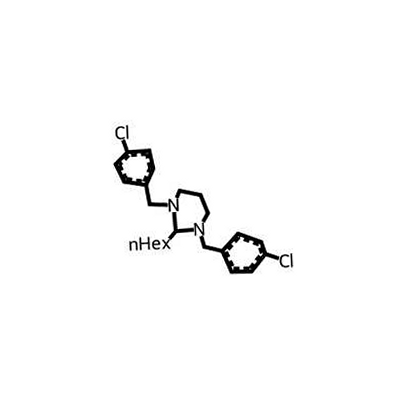 CCCCCCC1N(Cc2ccc(Cl)cc2)CCCN1Cc1ccc(Cl)cc1